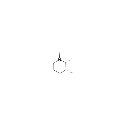 C[C@@H]1CCCN(C)[C@@H]1C